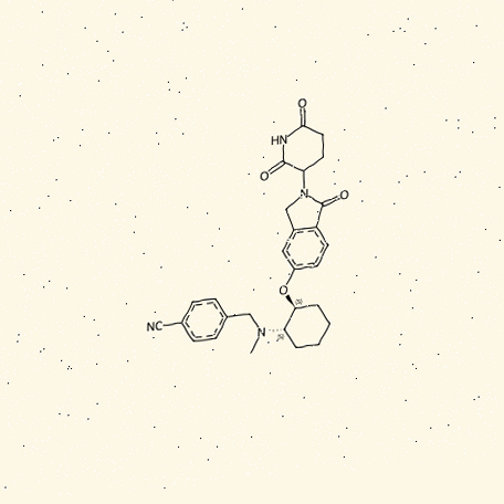 CN(Cc1ccc(C#N)cc1)[C@H]1CCCC[C@@H]1Oc1ccc2c(c1)CN(C1CCC(=O)NC1=O)C2=O